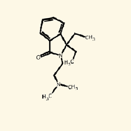 CCC1(CC)c2ccccc2C(=O)N1CCN(C)C